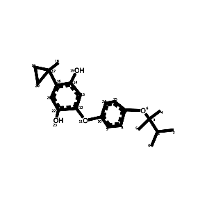 CC(C)C(C)(C)Oc1ccc(Oc2cc(O)c(C3(C)CC3)cc2O)cc1